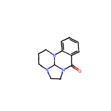 O=C1c2ccccc2N2CCCN3CCN1C32